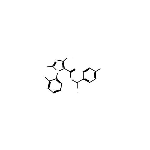 Cc1nc(C)n(-c2ccccc2Cl)c1C(=O)NC(C)c1ccc(C(=O)O)cc1